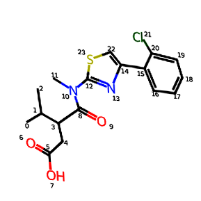 CC(C)C(CC(=O)O)C(=O)N(C)c1nc(-c2ccccc2Cl)cs1